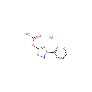 CC(=O)Oc1cnc(-c2ccccc2)s1.Cl